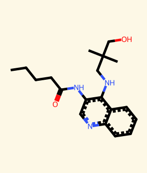 CCCCC(=O)Nc1cnc2ccccc2c1NCC(C)(C)CO